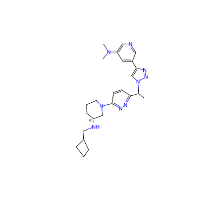 CC(c1ccc(N2CCC[C@@H](NCC3CCC3)C2)nn1)n1cc(-c2cncc(N(C)C)c2)nn1